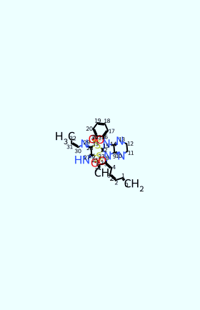 C=C/C=C\C=C(/C=C)N1C2=NCCN=C2N(c2ccccc2)C12S(=O)(=O)C(=N)/C(=N\C=C/C)S2(=O)=O